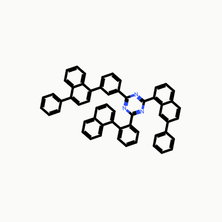 c1ccc(-c2ccc3cccc(-c4nc(-c5cccc(-c6ccc(-c7ccccc7)c7ccccc67)c5)nc(-c5ccccc5-c5cccc6ccccc56)n4)c3c2)cc1